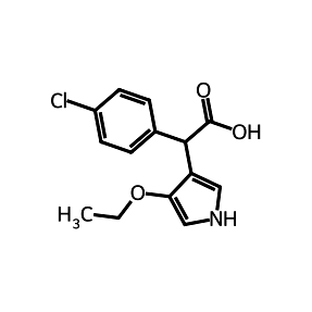 CCOc1c[nH]cc1C(C(=O)O)c1ccc(Cl)cc1